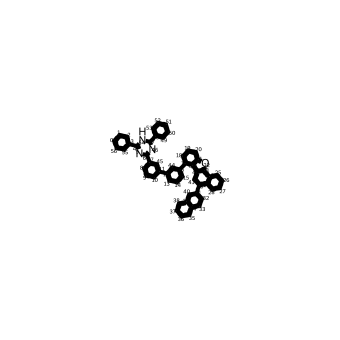 c1ccc(C2=NC(c3cccc(-c4cccc(-c5cccc6oc7c8ccccc8c(-c8ccc9ccccc9c8)cc7c56)c4)c3)=NC(c3ccccc3)N2)cc1